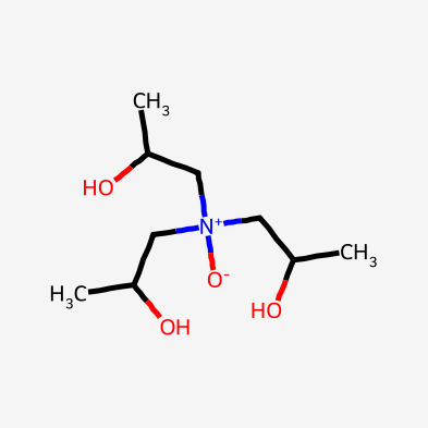 CC(O)C[N+]([O-])(CC(C)O)CC(C)O